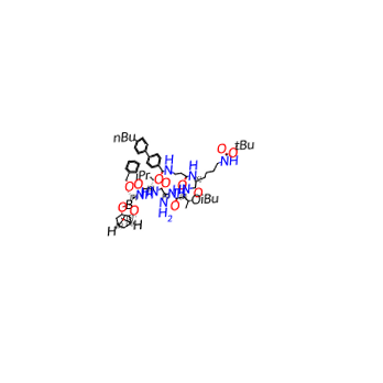 CCCCc1ccc(-c2ccc(C(=O)NCCC(=O)N[C@@H](CCCCNC(=O)OC(C)(C)C)C(=O)N[C@H](C(=O)N[C@@H](N)C(=O)N[C@@H](CC(C)C)C(=O)N[C@@H](COCc3ccccc3)B3OC4C[C@@H]5C[C@@H](C5(C)C)[C@]4(C)O3)C(C)OCC(C)C)cc2)cc1